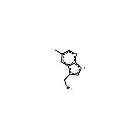 Cc1cnc2[nH]cc(CN)c2c1